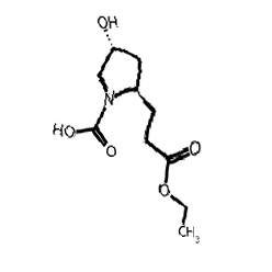 CCOC(=O)CC[C@@H]1C[C@@H](O)CN1C(=O)O